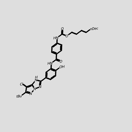 CCCCCCCCCCCCCCOC(=O)Nc1ccc(C(=O)Nc2cc(-c3nn4nc(C(C)(C)C)c(Cl)c4[nH]3)ccc2O)cc1